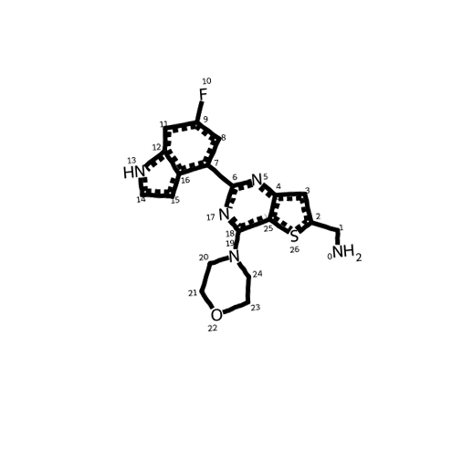 NCc1cc2nc(-c3cc(F)cc4[nH]ccc34)nc(N3CCOCC3)c2s1